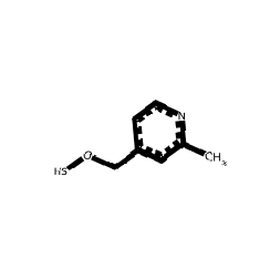 Cc1cc(COS)ccn1